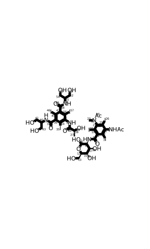 CC(=O)Nc1c(I)c(C(=O)N[C@H]2C(O)O[C@H](CO)[C@@H](O)[C@@H]2O)c(I)c(N(C)C(C)=O)c1I.C[C@H](O)C(=O)Nc1c(I)c(C(=O)NC(CO)CO)c(I)c(C(=O)NC(CO)CO)c1I